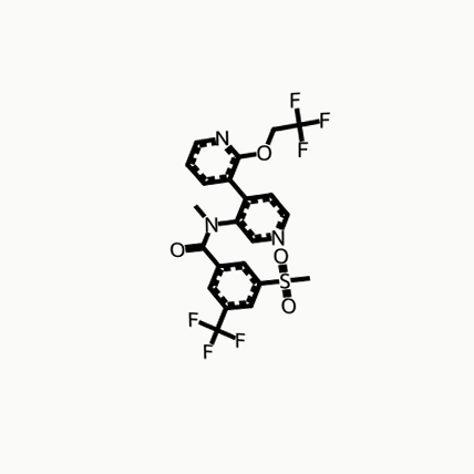 CN(C(=O)c1cc(C(F)(F)F)cc(S(C)(=O)=O)c1)c1cnccc1-c1cccnc1OCC(F)(F)F